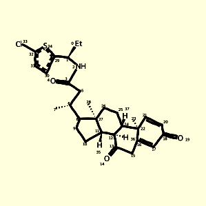 CC[C@@H](NC(=O)C[C@@H](C)C1CC[C@H]2[C@@H]3C(=O)CC4=CC(=O)C=C[C@]4(C)[C@H]3CC[C@]12C)c1ccc(Cl)s1